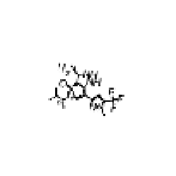 CC(C)[C@H](C)n1cc(-c2cc(C(F)(F)F)n(C)n2)c2c(c1=O)C(N)NN2